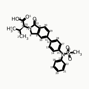 CC(C)[C@@H](C(=O)O)N1Cc2cc(-c3ccc(N(c4ccccc4)S(C)(=O)=O)cc3)ccc2C1=O